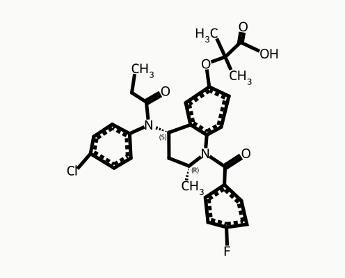 CCC(=O)N(c1ccc(Cl)cc1)[C@H]1C[C@@H](C)N(C(=O)c2ccc(F)cc2)c2ccc(OC(C)(C)C(=O)O)cc21